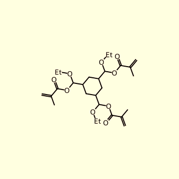 C=C(C)C(=O)OC(OCC)C1CC(C(OCC)OC(=O)C(=C)C)CC(C(OCC)OC(=O)C(=C)C)C1